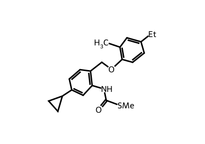 CCc1ccc(OCc2ccc(C3CC3)cc2NC(=O)SC)c(C)c1